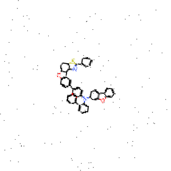 c1ccc(-c2nc3c(ccc4oc5ccc(-c6ccc(N(c7ccc8c(c7)oc7ccccc78)c7ccccc7-c7ccccc7)cc6)cc5c43)s2)cc1